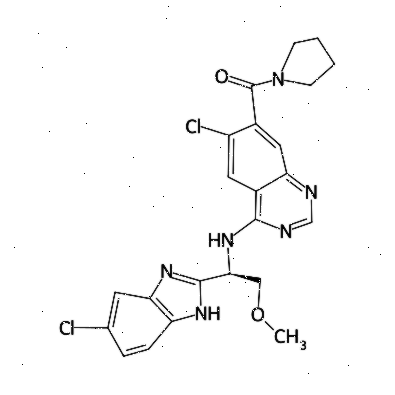 COC[C@H](Nc1ncnc2cc(C(=O)N3CCCC3)c(Cl)cc12)c1nc2cc(Cl)ccc2[nH]1